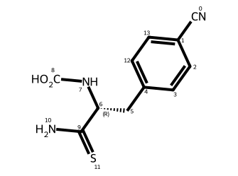 N#Cc1ccc(C[C@@H](NC(=O)O)C(N)=S)cc1